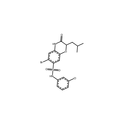 CC(C)CC1Oc2cc(S(=O)(=O)Nc3cccc(Cl)c3)c(Br)cc2NC1=O